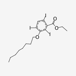 CCCCCCCCOc1c(I)cc(I)c(C(=O)OCC)c1I